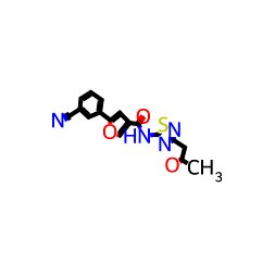 CC(=O)Cc1nsc(NC(=O)c2coc(-c3cccc(C#N)c3)c2)n1